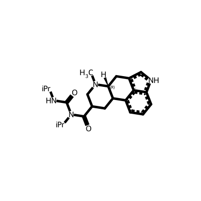 CC(C)NC(=O)N(C(=O)C1CC2c3cccc4[nH]cc(c34)C[C@H]2N(C)C1)C(C)C